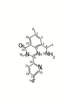 Cc1cc(C(C)N)c2nc(-c3ccc(F)cn3)n(C)c(=O)c2c1